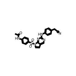 CC(=O)Nc1ccc(S(=O)(=O)n2ccc3cnc(Nc4ccc(CC#N)cc4)nc32)cc1